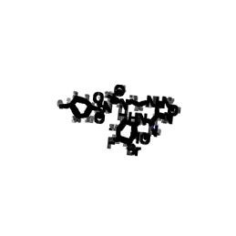 Cc1ccc(S(=O)(=O)N=[S@](C)(=O)NCCNc2nonc2/C(=N/O)Nc2ccc(F)c(Br)c2)cc1